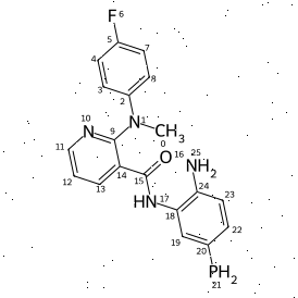 CN(c1ccc(F)cc1)c1ncccc1C(=O)Nc1cc(P)ccc1N